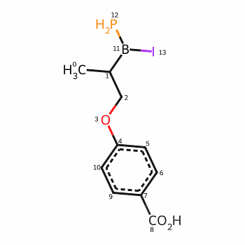 CC(COc1ccc(C(=O)O)cc1)B(P)I